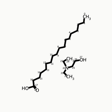 CCCCCCCCCCCCCCCCCC(=O)O.CCN(CC)CCO